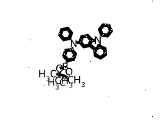 CC1(C)OB(c2ccc(N(c3ccccc3)c3ccc4c(c3)c3ccccc3n4-c3ccccc3)cc2)OC1(C)C